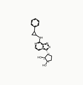 O[C@@H]1[C@H](O)CC[C@H]1c1nnc2c(NC3CC3c3ccccc3)nccn12